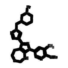 COc1ncc(-n2nc(-c3cnn(CC4CCCN(C(C)C)C4)c3)c3c2NCOCC3)cc1C